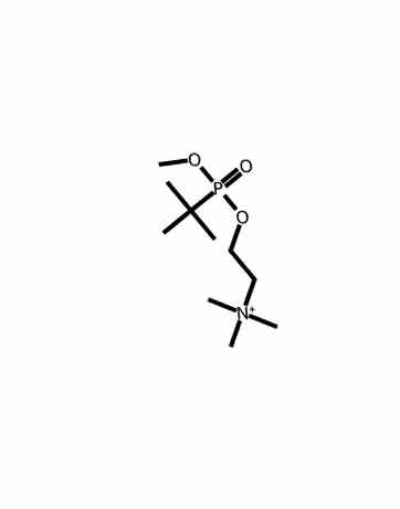 COP(=O)(OCC[N+](C)(C)C)C(C)(C)C